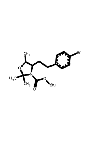 CC1OC(C)(C)N(C(=O)OC(C)(C)C)C1CCc1ccc(Br)cc1